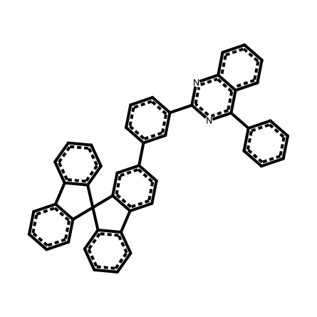 c1ccc(-c2nc(-c3cccc(-c4ccc5c(c4)C4(c6ccccc6-c6ccccc64)c4ccccc4-5)c3)nc3ccccc23)cc1